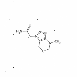 CN1COCc2c1ncn2CC(N)=O